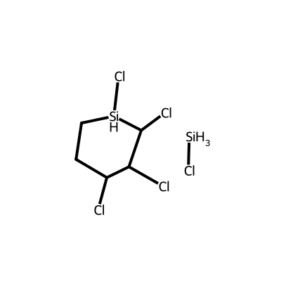 ClC1CC[SiH](Cl)C(Cl)C1Cl.[SiH3]Cl